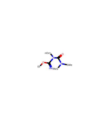 CCCCCCCCN(C(=N)OCC)C(=O)N(SC)SC